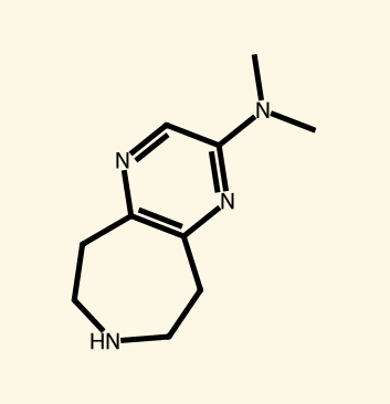 CN(C)c1cnc2c(n1)CCNCC2